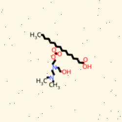 CCCCCCC(CCCCCCCCC(=O)O)OC(=O)OCCN(CCO)CCN(CC)CC